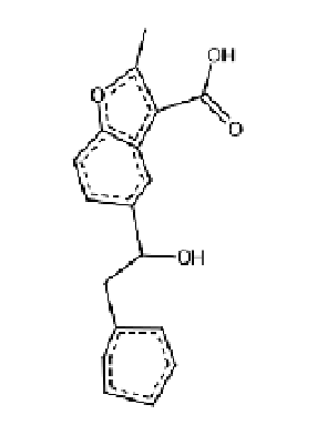 Cc1oc2ccc(C(O)Cc3ccccc3)cc2c1C(=O)O